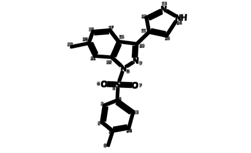 Cc1ccc(S(=O)(=O)n2nc(-c3cn[nH]c3)c3ccc(C)cc32)cc1